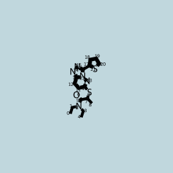 CCN(CC)C(=O)C(C)Sc1ccc2nnc(-c3cccs3)n2n1